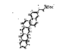 C=Cc1c(-c2ccc(CCCCCCCCCCCC)cc2)ccc2cc3cc4ccccc4cc3cc12